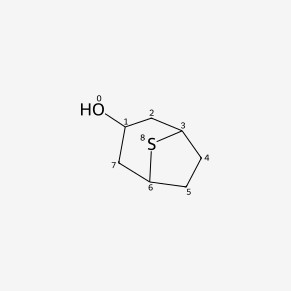 OC1CC2CCC(C1)S2